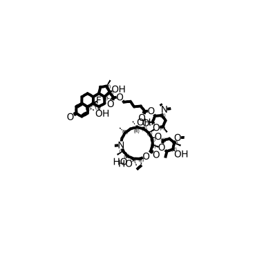 CC[C@H]1OC(=O)[C@H](C)[C@@H](O[C@@H]2C[C@](C)(OC)[C@H](O)C(C)O2)[C@H](C)[C@@H](O[C@@H]2O[C@H](C)C[C@@H](N(C)C)C2OC(=O)CCCCOC(=O)[C@@]2(O)[C@H](C)CC3C4CCC5=CC(=O)C=C[C@]5(C)[C@@]4(F)[C@@H](O)C[C@@]32C)[C@](C)(O)C[C@@H](C)CN(C)[C@H](C)[C@@H](O)[C@]1(C)O